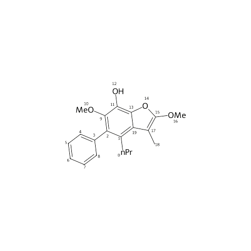 CCCc1c(-c2ccccc2)c(OC)c(O)c2oc(OC)c(C)c12